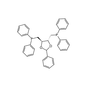 c1ccc(C2O[C@@H](CP(c3ccccc3)c3ccccc3)[C@H](CP(c3ccccc3)c3ccccc3)O2)cc1